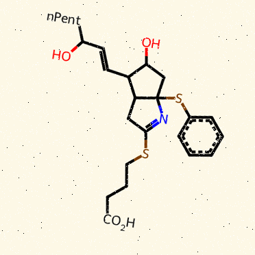 CCCCCC(O)C=CC1C(O)CC2(Sc3ccccc3)N=C(SCCCC(=O)O)CC12